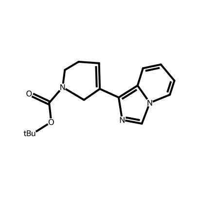 CC(C)(C)OC(=O)N1CCC=C(c2ncn3ccccc23)C1